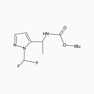 CC(NC(=O)OC(C)(C)C)c1ccnn1C(F)F